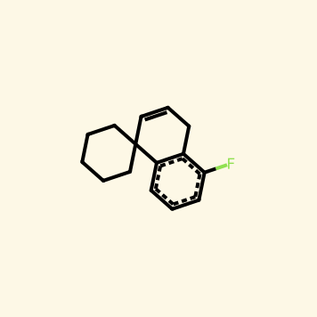 Fc1cccc2c1CC=CC21CCCCC1